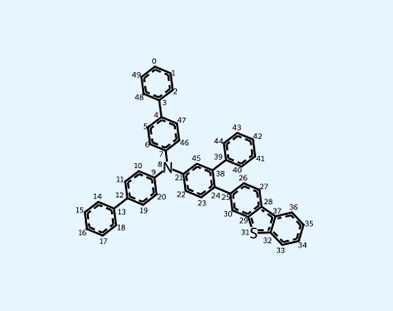 c1ccc(-c2ccc(N(c3ccc(-c4ccccc4)cc3)c3ccc(-c4ccc5c(c4)sc4ccccc45)c(-c4ccccc4)c3)cc2)cc1